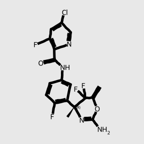 C=C1OC(N)=N[C@](C)(c2cc(NC(=O)c3ncc(Cl)cc3F)ccc2F)C1(F)F